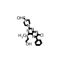 CN(CCO)c1nc(N2CCN(C=O)CC2)nc2nc(Cl)c(-c3ccccc3)nc12